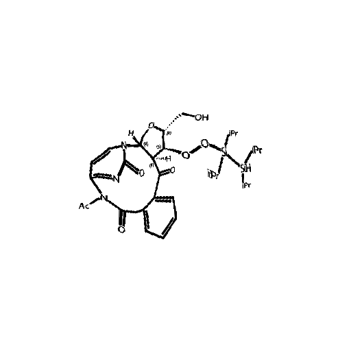 CC(=O)N1C(=O)c2ccccc2C(=O)[C@@H]2[C@H](OO[Si](C(C)C)(C(C)C)[SiH](C(C)C)C(C)C)[C@@H](CO)O[C@H]2n2ccc1nc2=O